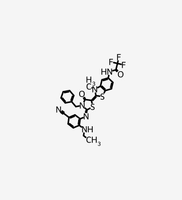 CCNc1ccc(C#N)cc1/N=C1/S/C(=C2\Sc3ccc(NC(=O)C(F)(F)F)cc3N2C)C(=O)N1Cc1ccccc1